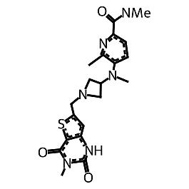 CNC(=O)c1ccc(N(C)C2CN(Cc3cc4[nH]c(=O)n(C)c(=O)c4s3)C2)c(C)n1